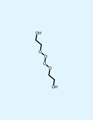 OCCOOOOCCO